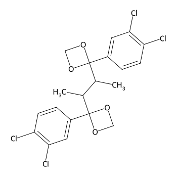 CC(C(C)C1(c2ccc(Cl)c(Cl)c2)OCO1)C1(c2ccc(Cl)c(Cl)c2)OCO1